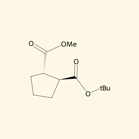 COC(=O)[C@H]1CCC[C@@H]1C(=O)OC(C)(C)C